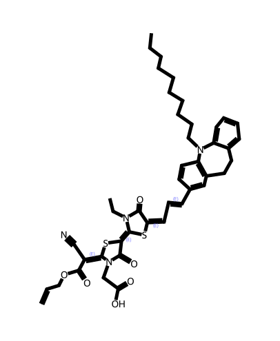 C=CCOC(=O)/C(C#N)=c1/s/c(=c2/s/c(=C/C=C/c3ccc4c(c3)CCc3ccccc3N4CCCCCCCCCC)c(=O)n2CC)c(=O)n1CC(=O)O